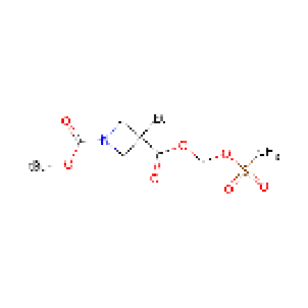 CCC1(C(=O)OCOS(C)(=O)=O)CN(C(=O)OC(C)(C)C)C1